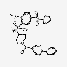 O=C(c1ccc(-c2ccccc2)nc1)N1CCC(NS(=O)(=O)c2cc(S(=O)(=O)c3ccccc3)ccc2C(F)(F)F)CC1